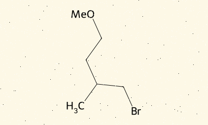 COCCC(C)CBr